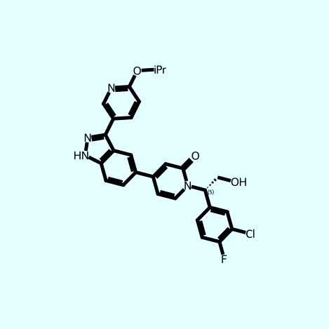 CC(C)Oc1ccc(-c2n[nH]c3ccc(-c4ccn([C@H](CO)c5ccc(F)c(Cl)c5)c(=O)c4)cc23)cn1